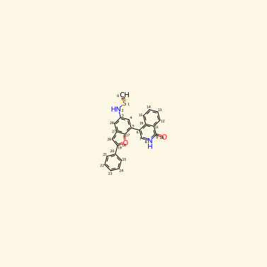 C#SNc1cc(-c2c[nH]c(=O)c3ccccc23)c2oc(-c3ccccc3)cc2c1